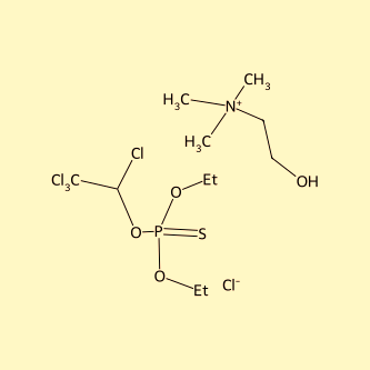 CCOP(=S)(OCC)OC(Cl)C(Cl)(Cl)Cl.C[N+](C)(C)CCO.[Cl-]